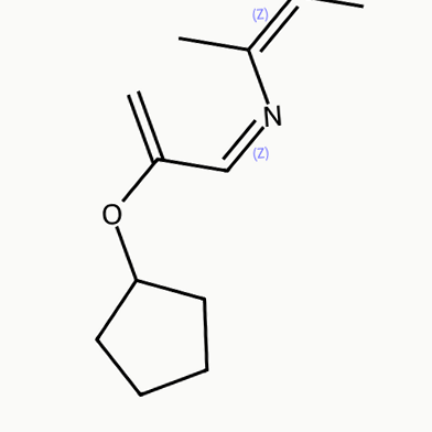 C=C(/C=N\C(C)=C/C)OC1CCCC1